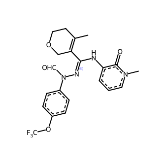 CC1=C(/C(=N\N(C=O)c2ccc(OC(F)(F)F)cc2)Nc2cccn(C)c2=O)COCC1